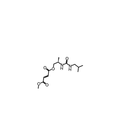 COC(=O)/C=C/C(=O)OC[C@@H](C)NC(=O)NCC(C)C